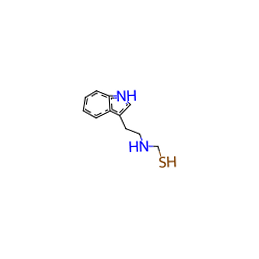 SCNCCc1c[nH]c2ccccc12